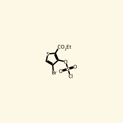 CCOC(=O)c1scc(Br)c1OS(=O)(=O)Cl